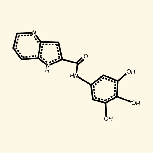 O=C(Nc1cc(O)c(O)c(O)c1)c1cc2ncccc2[nH]1